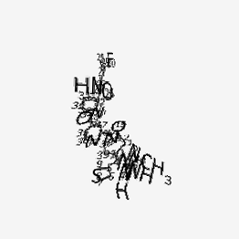 CC1=NN(C(c2ccsc2)C2CCN(C(=O)c3cc(-c4nc5cc(NC(=O)C6C[C@@H]6F)ccc5o4)ccn3)CC2)NN1